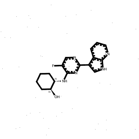 O[C@H]1CCCC[C@@H]1Nc1nc(-c2c[nH]c3ncccc23)ncc1F